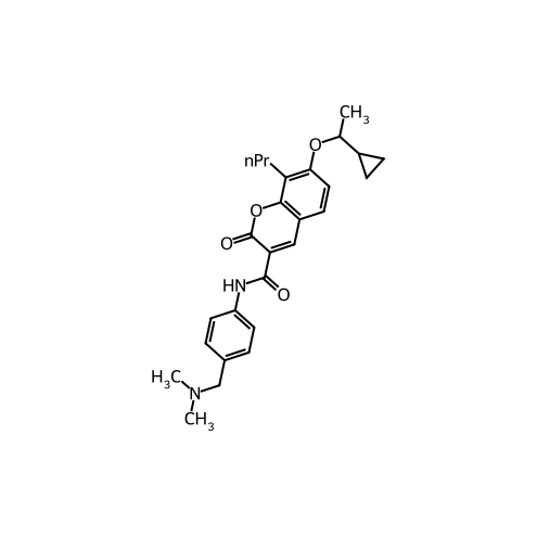 CCCc1c(OC(C)C2CC2)ccc2cc(C(=O)Nc3ccc(CN(C)C)cc3)c(=O)oc12